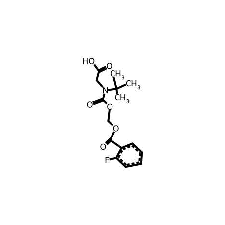 CC(C)(C)N(CC(=O)O)C(=O)OCOC(=O)c1ccccc1F